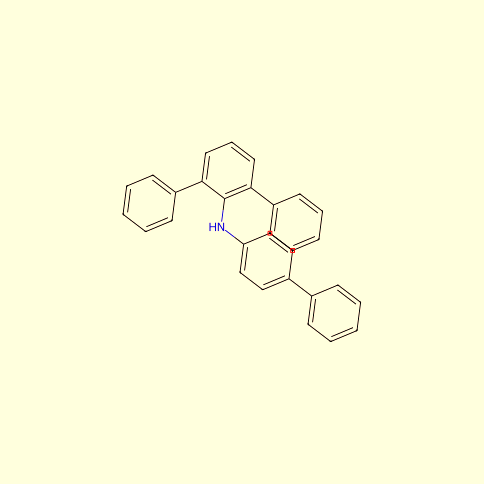 c1ccc(-c2ccc(Nc3c(-c4ccccc4)cccc3-c3ccccc3)cc2)cc1